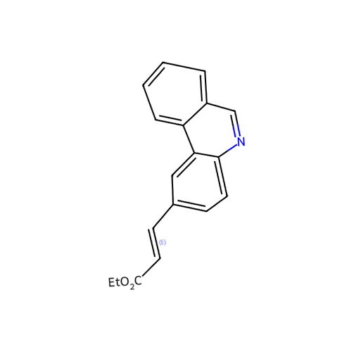 CCOC(=O)/C=C/c1ccc2ncc3ccccc3c2c1